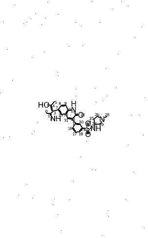 CC(=N)/C(=C(/C)O)c1ccc2[nH]c(=O)c(-c3cccc(S(=O)(=O)NC4CCN(C)C4)c3)cc2c1